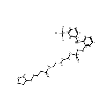 O=C(CCCCC1CCSS1)OCCOCCOC(=O)CCc1ccccc1Nc1cccc(C(F)(F)F)c1